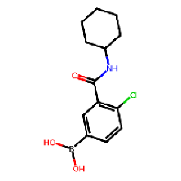 O=C(NC1CCCCC1)c1cc(B(O)O)ccc1Cl